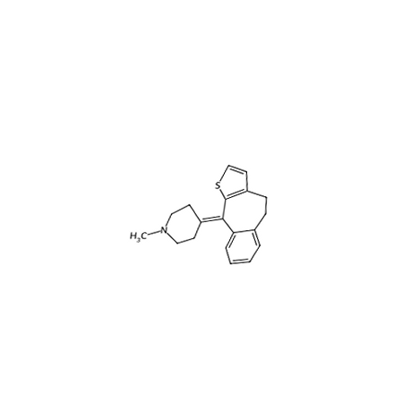 CN1CCC(=C2c3ccccc3CCc3ccsc32)CC1